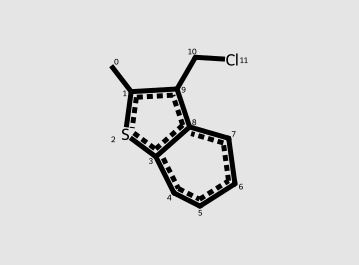 Cc1sc2ccccc2c1CCl